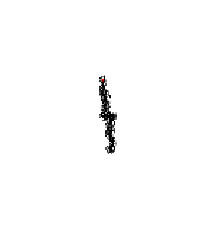 C=CC(=O)OCCOC1CCC(C(=O)Oc2ccc(OC(=O)Oc3cccc4c3C3(CC4)CCc4cccc(OC(=O)Oc5ccc(OC(=O)C6CCC(OCOC(=O)C=C)CC6)cc5)c43)cc2)CC1